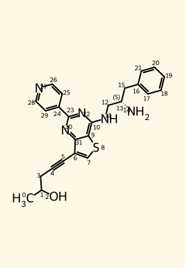 CC(O)CC#Cc1csc2c(NC[C@@H](N)Cc3ccccc3)nc(-c3ccncc3)nc12